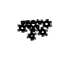 O=C[C@H]1OC(COCc2ccccc2)[C@@H](OCc2ccccc2)C(OCc2ccccc2)C1OCc1ccccc1